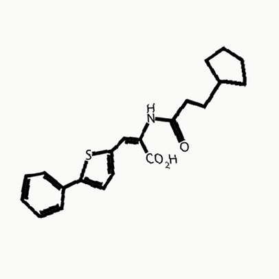 O=C(CCC1CCCC1)N/C(=C/c1ccc(-c2ccccc2)s1)C(=O)O